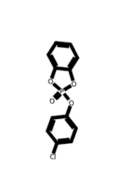 O=P1(Oc2ccc(Cl)cc2)Oc2ccccc2O1